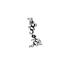 Nc1nc2ncc(C[Se]c3ccc(C(=O)N[C@@H](CC(=O)O)C(=O)O)cc3)nc2c(=O)[nH]1